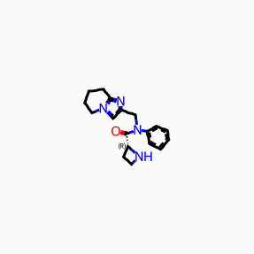 O=C([C@H]1CCN1)N(Cc1cn2c(n1)CCCC2)c1ccccc1